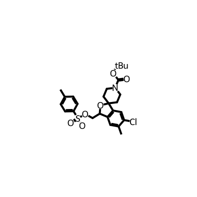 Cc1ccc(S(=O)(=O)OCC2OC3(CCN(C(=O)OC(C)(C)C)CC3)c3cc(Cl)c(C)cc32)cc1